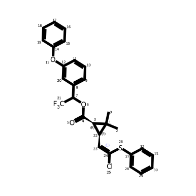 CC1(C)[C@H](C(=O)OC(c2cccc(Oc3ccccc3)c2)C(F)(F)F)[C@@H]1/C=C(/Cl)Sc1ccccc1